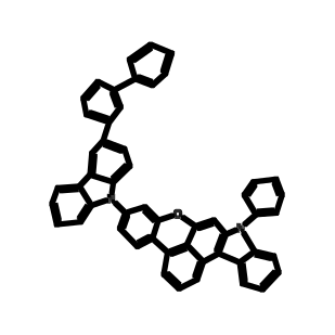 c1ccc(-c2cccc(-c3ccc4c(c3)c3ccccc3n4-c3ccc4c(c3)Oc3cc5c(c6cccc-4c36)c3ccccc3n5-c3ccccc3)c2)cc1